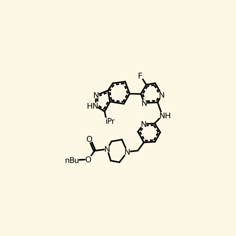 CCCCOC(=O)N1CCN(Cc2ccc(Nc3ncc(F)c(-c4ccc5n[nH]c(C(C)C)c5c4)n3)nc2)CC1